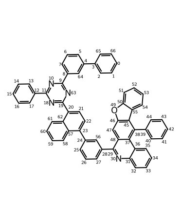 c1ccc(-c2cccc(-c3nc(-c4ccccc4)nc(-c4ccc(-c5cccc(-c6nc7ccccc7c7c(-c8ccccc8)c8c(cc67)oc6ccccc68)c5)c5ccccc45)n3)c2)cc1